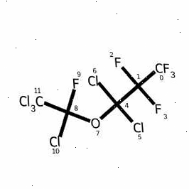 FC(F)(F)C(F)(F)C(Cl)(Cl)OC(F)(Cl)C(Cl)(Cl)Cl